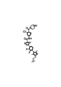 COCCn1nc(C)c(-c2ccc(-c3cnc(C(=O)Nc4ccc(C(=O)N5CCNCC5)c(Cl)c4)n3C)c(F)c2F)c1C